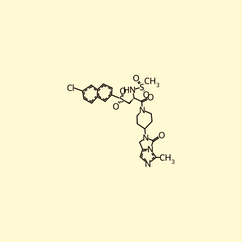 Cc1ncc2n1C(=O)N(C1CCN(C(=O)[C@@H](CS(=O)(=O)c3ccc4cc(Cl)ccc4c3)NS(C)(=O)=O)CC1)C2